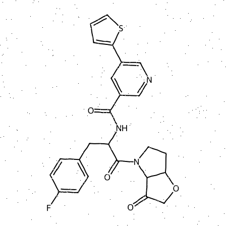 O=C(NC(Cc1ccc(F)cc1)C(=O)N1CCC2OCC(=O)C21)c1cncc(-c2cccs2)c1